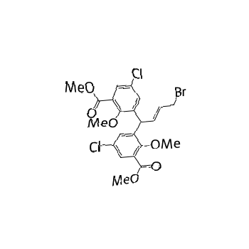 COC(=O)c1cc(Cl)cc(C(C=CCBr)c2cc(Cl)cc(C(=O)OC)c2OC)c1OC